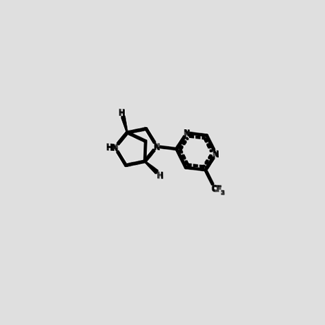 FC(F)(F)c1cc(N2C[C@@H]3C[C@H]2CN3)ncn1